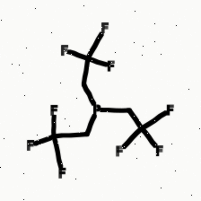 FC(F)(F)CP(CC(F)(F)F)CC(F)(F)F